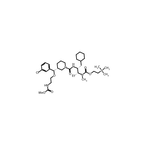 CC[C@H]([C@@H](CC1CCCCC1)NC(=O)N1CCC[C@@H](C(OCCNC(=O)OC)c2cccc(Cl)c2)C1)N(C)C(=O)OCC[Si](C)(C)C